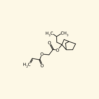 C=CC(=O)OCC(=O)OC1(CC(C)C)CC2CCC1C2